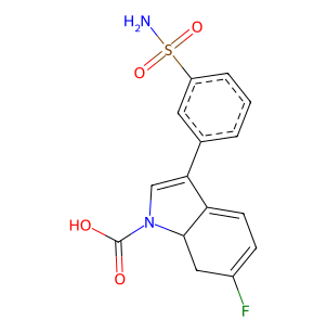 NS(=O)(=O)c1cccc(C2=CN(C(=O)O)C3CC(F)=CC=C23)c1